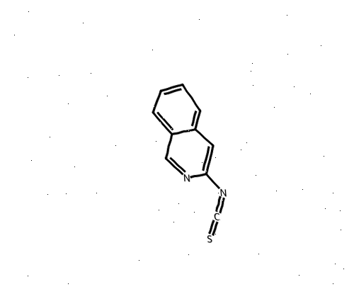 S=C=Nc1cc2ccccc2cn1